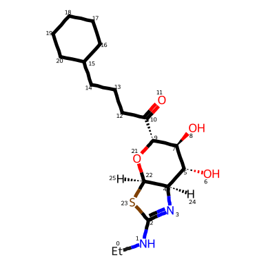 CCNC1=N[C@@H]2[C@@H](O)[C@H](O)[C@@H](C(=O)CCCC3CCCCC3)O[C@@H]2S1